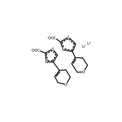 O=C([O-])c1nc(C2=CCOCC2)cs1.O=C([O-])c1nc(C2=CCOCC2)cs1.[Li+].[Li+]